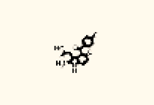 Cc1[nH]c2ccc(O)c(C(=O)c3ccc(Cl)cc3)c2c1CC(=O)O